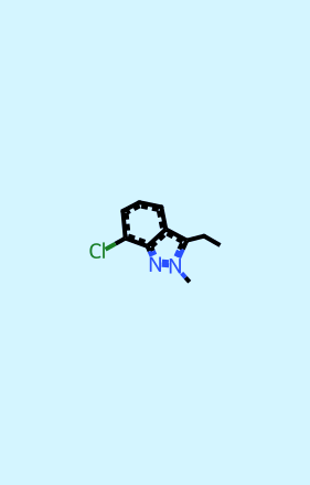 CCc1c2cccc(Cl)c2nn1C